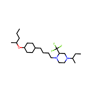 CCCC(C)OC1CCC(CCCCN2CCN(C(C)CC)CC2C(F)(F)F)CC1